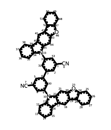 N#Cc1cc(-c2cc(C#N)cc(-n3c4ccccc4c4cc5c(cc43)oc3ccccc35)c2)cc(-n2c3ccccc3c3cc4c(cc32)oc2ccccc24)c1